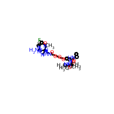 CN[C@@H](C)C(=O)N[C@H](C(=O)N1Cc2cc(OCCOCCOCCC(=O)NCCn3nc4c(c3C#N)-c3cnc(N)c(n3)N3CCC[C@@H]3c3cc(F)ccc3C(=O)N(C)C4)ccc2C[C@H]1C(=O)N[C@@H]1CCCc2ccccc21)C(C)(C)C